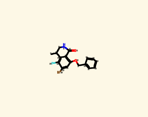 CC1CNC(=O)c2c(OCc3ccccc3)cc(Br)c(F)c21